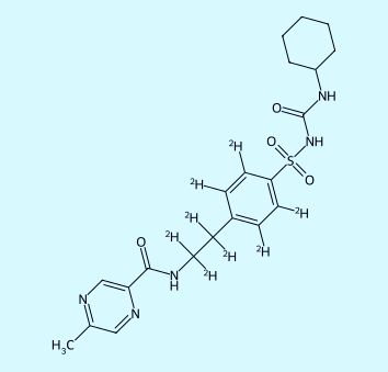 [2H]c1c([2H])c(S(=O)(=O)NC(=O)NC2CCCCC2)c([2H])c([2H])c1C([2H])([2H])C([2H])([2H])NC(=O)c1cnc(C)cn1